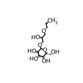 C=CCOCC(O)COC1O[C@H](CO)[C@@H](O)[C@H](O)[C@H]1O